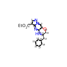 CCOC(=O)c1cnn2cc3c(nc12)N[C@H](Cc1ccccc1)CO3